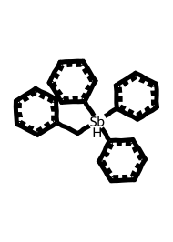 c1ccc([CH2][SbH]([c]2ccccc2)([c]2ccccc2)[c]2ccccc2)cc1